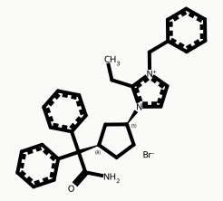 CCc1n([C@H]2CC[C@@H](C(C(N)=O)(c3ccccc3)c3ccccc3)C2)cc[n+]1Cc1ccccc1.[Br-]